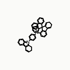 C1=Cc2c(n(-c3ccc(N(c4ccccc4)c4cccc5c4C4(C6=CCCC=C65)c5ccccc5-c5ccccc54)cc3)c3ccccc23)CC1